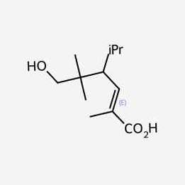 C/C(=C\C(C(C)C)C(C)(C)CO)C(=O)O